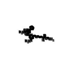 CCOC(=O)NCCCOCc1cc(SC)cc(Nc2cc(C3CCCC3)nn2C(C)(C)C)n1